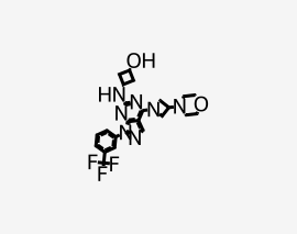 O[C@H]1C[C@H](Nc2nc(N3CC(N4CCOCC4)C3)c3cnn(-c4cccc(C(F)(F)F)c4)c3n2)C1